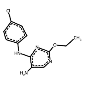 CCOc1ncc(N)c(Nc2ccc(Cl)cc2)n1